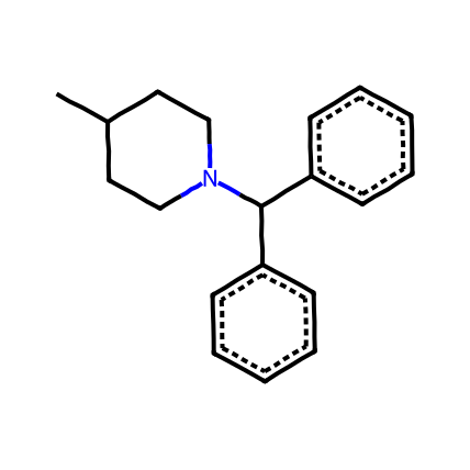 CC1CCN(C(c2ccccc2)c2ccccc2)CC1